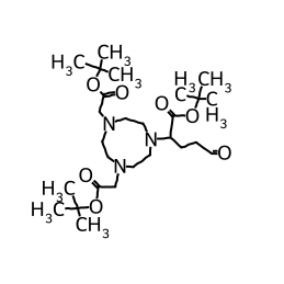 CC(C)(C)OC(=O)CN1CCN(CC(=O)OC(C)(C)C)CCN(C(CCC=O)C(=O)OC(C)(C)C)CC1